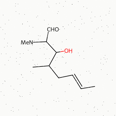 C/C=C/CC(C)C(O)C([C]=O)NC